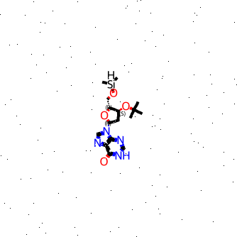 C[SiH](C)OC[C@H]1O[C@@H](n2cnc3c(=O)[nH]cnc32)C[C@@H]1OC(C)(C)C